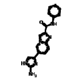 Nc1nc(-c2ccc3nc(C(=O)Nc4ccccc4)cn3c2)c[nH]1